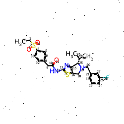 CCS(=O)(=O)c1ccc(CC(=O)Nc2nc3c(s2)CN(Cc2cccc(F)c2)[C@@H]3C(C)C)cc1